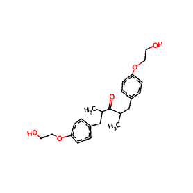 CC(Cc1ccc(OCCO)cc1)C(=O)C(C)Cc1ccc(OCCO)cc1